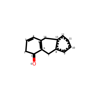 O=C1CC=CC2=C1Cc1ccccc1C2